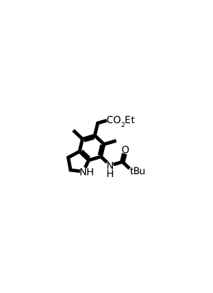 CCOC(=O)Cc1c(C)c2c(c(NC(=O)C(C)(C)C)c1C)NCC2